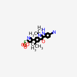 CC(C)c1cc2c(=O)c3c4ccc(C#N)cc4[nH]c3n(C(C)C)c2cc1-c1cncc(OS(=O)(=O)F)c1